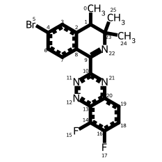 CC1c2cc(Br)ccc2C(c2nnc3c(F)c(F)ccc3n2)=NC1(C)C